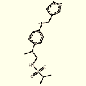 CC(CNS(=O)(=O)C(C)C)c1ccc(NCc2ccoc2)cc1